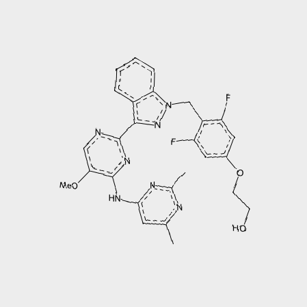 COc1cnc(-c2nn(Cc3c(F)cc(OCCO)cc3F)c3ccccc23)nc1Nc1cc(C)nc(C)n1